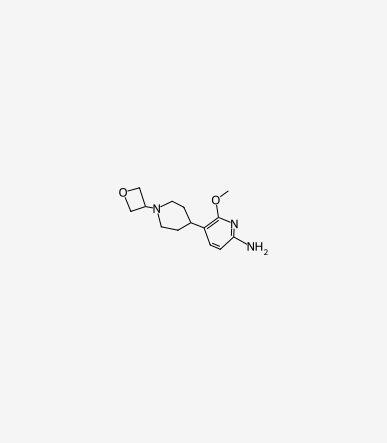 COc1nc(N)ccc1C1CCN(C2COC2)CC1